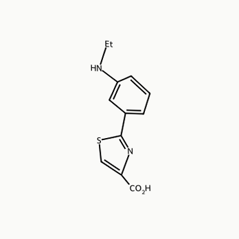 CCNc1cccc(-c2nc(C(=O)O)cs2)c1